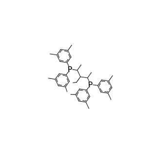 CCC(C(C)P(c1cc(C)cc(C)c1)c1cc(C)cc(C)c1)C(C)P(c1cc(C)cc(C)c1)c1cc(C)cc(C)c1